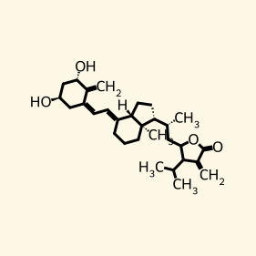 C=C1C(=O)OC(C[C@@H](C)[C@H]2CC[C@H]3/C(=C/C=C4/C[C@@H](O)C[C@H](O)C4=C)CCC[C@]23C)C1C(C)C